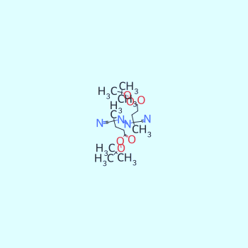 CC(C#N)(CCC(=O)OOC(C)(C)C)N=NC(C)(C#N)CCC(=O)OOC(C)(C)C